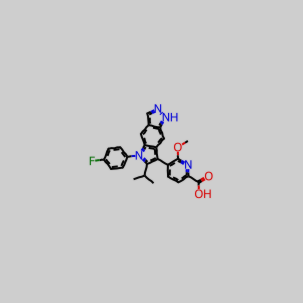 COc1nc(C(=O)O)ccc1-c1c(C(C)C)n(-c2ccc(F)cc2)c2cc3cn[nH]c3cc12